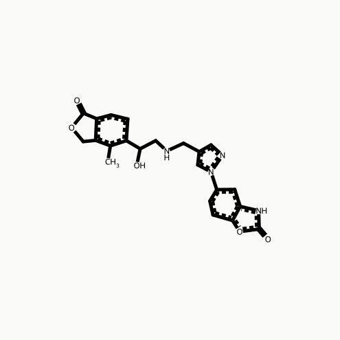 Cc1c(C(O)CNCc2cnn(-c3ccc4oc(=O)[nH]c4c3)c2)ccc2c1COC2=O